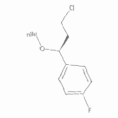 CCCCO[C@@H](CCCl)c1ccc(F)cc1